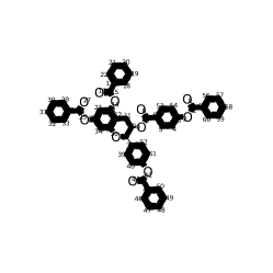 O=C(Oc1ccc(C(=O)O[C@H]2Cc3c(OC(=O)c4ccccc4)cc(OC(=O)c4ccccc4)cc3O[C@H]2c2ccc(OC(=O)c3ccccc3)cc2)cc1)c1ccccc1